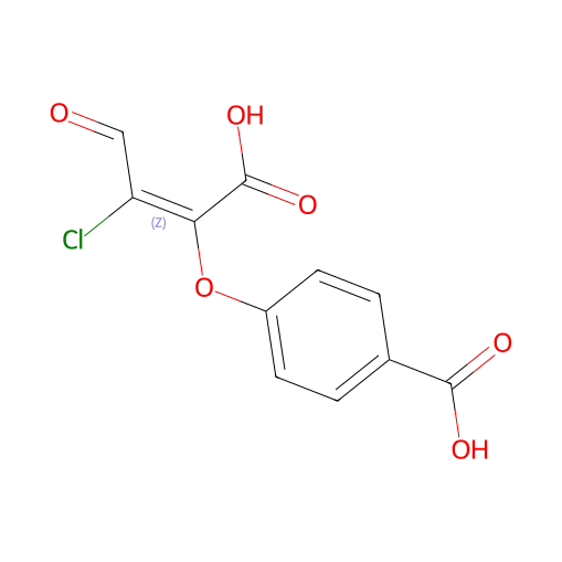 O=C/C(Cl)=C(/Oc1ccc(C(=O)O)cc1)C(=O)O